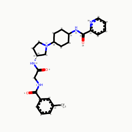 O=C(CNC(=O)c1cccc(C(F)(F)F)c1)N[C@@H]1CCN(C2CCC(NC(=O)c3ccccn3)CC2)C1